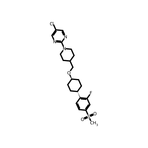 CS(=O)(=O)c1ccc([C@H]2CC[C@H](OCC3CCN(c4ncc(Cl)cn4)CC3)CC2)c(F)c1